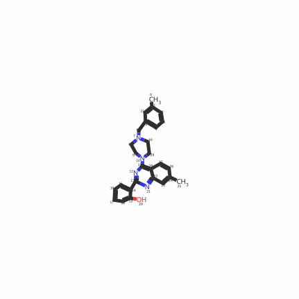 Cc1cccc(CN2CCN(c3nc(-c4ccccc4O)nc4cc(C)ccc34)CC2)c1